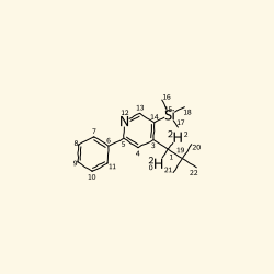 [2H]C([2H])(c1cc(-c2ccccc2)ncc1[Si](C)(C)C)C(C)(C)C